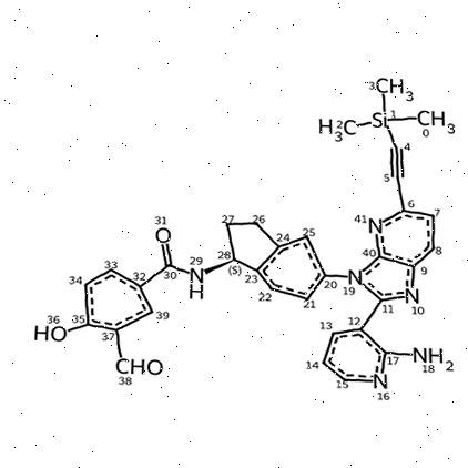 C[Si](C)(C)C#Cc1ccc2nc(-c3cccnc3N)n(-c3ccc4c(c3)CC[C@@H]4NC(=O)c3ccc(O)c(C=O)c3)c2n1